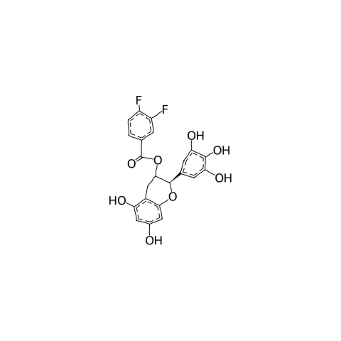 O=C(OC1Cc2c(O)cc(O)cc2O[C@@H]1c1cc(O)c(O)c(O)c1)c1ccc(F)c(F)c1